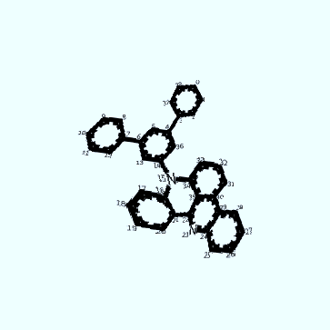 c1ccc(-c2cc(-c3ccccc3)cc(N3c4ccccc4-c4nc5ccccc5c5cccc3c45)c2)cc1